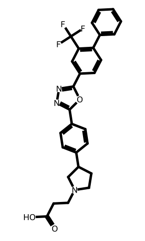 O=C(O)CCN1CCC(c2ccc(-c3nnc(-c4ccc(-c5ccccc5)c(C(F)(F)F)c4)o3)cc2)C1